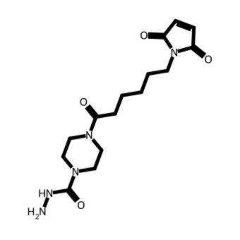 NNC(=O)N1CCN(C(=O)CCCCCN2C(=O)C=CC2=O)CC1